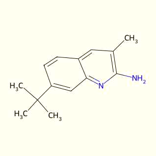 Cc1cc2ccc(C(C)(C)C)cc2nc1N